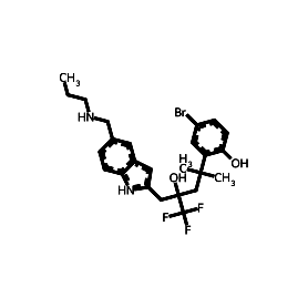 CCCNCc1ccc2[nH]c(CC(O)(CC(C)(C)c3cc(Br)ccc3O)C(F)(F)F)cc2c1